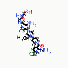 CC[C@H]1CN(c2nc(N)c(-c3nnc(NCCO)o3)nc2Cl)CCN1C1CCN(C(=O)c2ccc(Cl)nc2N)CC1